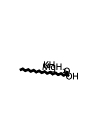 CCCCCCCCCCCCCCCCCC(=O)O.[KH].[MgH2]